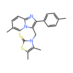 Cc1ccc(-c2nc3ccc(C)cn3c2Cn2c(C)c(C)sc2=S)cc1